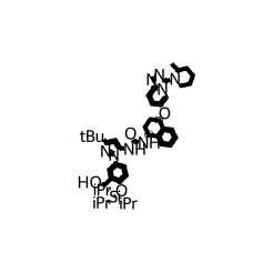 CC1CCCCN1c1nnc2ccc(O[C@@H]3CC[C@H](NC(=O)Nc4cc(C(C)(C)C)nn4-c4ccc(O[Si](C(C)C)(C(C)C)C(C)C)c(CO)c4)c4ccccc43)cn12